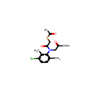 COC(=O)CN(C(=O)CSC(=O)C(C)C)c1c(C)ccc(Br)c1C